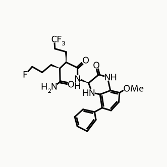 COc1ccc(-c2ccccc2)c2c1NC(=O)[C@H](NC(=O)[C@H](CCC(F)(F)F)[C@H](CCCF)C(N)=O)N2